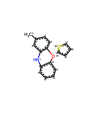 Cc1ccc2c(c1)Nc1ccccc1O2.c1ccsc1